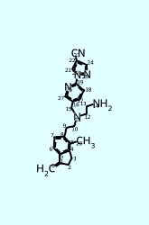 C=C1CCc2c1ccc(CCN(CCN)Cc1ccc(-n3cc(C#N)cn3)nc1)c2C